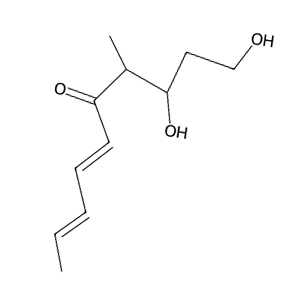 CC=CC=CC(=O)C(C)C(O)CCO